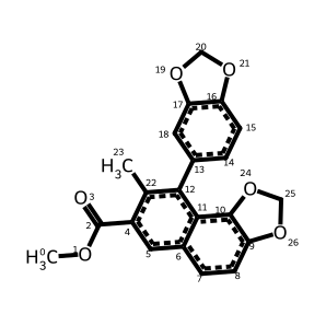 COC(=O)c1cc2ccc3c(c2c(-c2ccc4c(c2)OCO4)c1C)OCO3